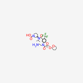 CC(C)N(C(=O)c1cc2c(cc1C(F)(F)F)OC(C)(COC1CCCCO1)C(=O)N2CCN)[C@@H]1CCCN(C(=O)O)C1